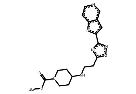 CC(C)(C)OC(=O)N1CCC(NCCc2nc(-c3cc4cnccc4o3)no2)CC1